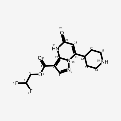 O=C(OCC(F)F)c1cnn2c(C3CCNCC3)cc(=O)[nH]c12